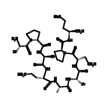 CSCC[C@H](NC(=O)[C@@H]1CCCN1C(=O)[C@H](CC(=O)O)NC(=O)[C@@H](NC(=O)[C@H](C)NC(=O)[C@H](CCC(=O)O)NC(=O)[C@@H](NC(=O)C1CCCN1C(=O)[C@@H](N)C(C)C)C(C)C)C(C)C)C(=O)O